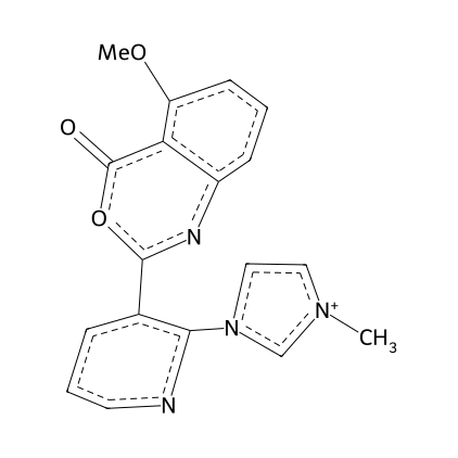 COc1cccc2nc(-c3cccnc3-n3cc[n+](C)c3)oc(=O)c12